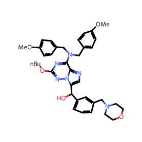 CCCCOc1nc(N(Cc2ccc(OC)cc2)Cc2ccc(OC)cc2)c2ncc(C(O)c3cccc(CN4CCOCC4)c3)n2n1